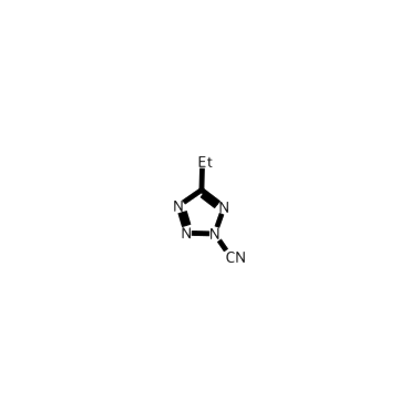 CCc1nnn(C#N)n1